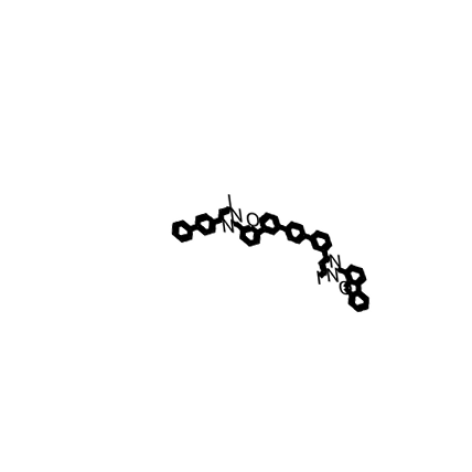 Ic1cc(-c2cccc(-c3ccc(-c4ccc5oc6c(-c7nc(I)cc(-c8ccc(-c9ccccc9)cc8)n7)cccc6c5c4)cc3)c2)nc(-c2cccc3c2oc2ccccc23)n1